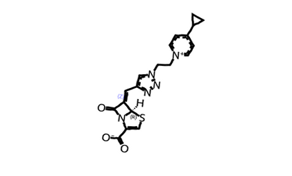 O=C([O-])C1=CS[C@@H]2/C(=C\c3cn(CC[n+]4ccc(C5CC5)cc4)nn3)C(=O)N12